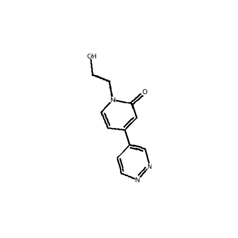 O=c1cc(-c2ccnnc2)ccn1CCO